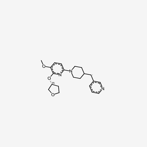 COc1ccc(N2CCC([CH]c3cccnc3)CC2)nc1O[C@@H]1CCOC1